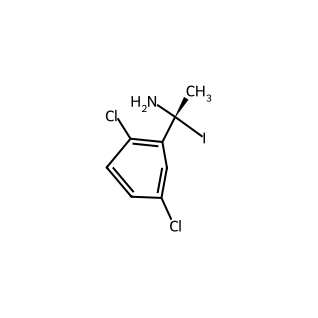 C[C@@](N)(I)c1cc(Cl)ccc1Cl